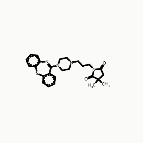 CC1(C)CC(=O)N(CCCN2CCN(C3=Nc4ccccc4Sc4ccccc43)CC2)C1=O